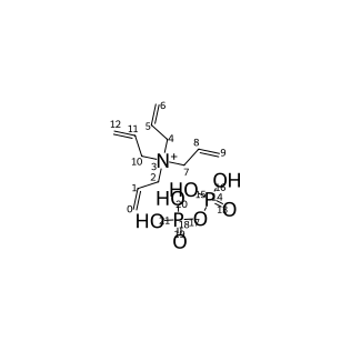 C=CC[N+](CC=C)(CC=C)CC=C.O=P(O)(O)OP(=O)(O)O